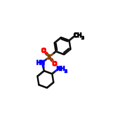 Cc1ccc(S(=O)(=O)N[C@@H]2CCCCC2N)cc1